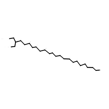 CCCCCCCCCCCCCCCCCCCCCC(CC)CC